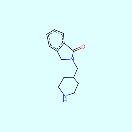 O=C1c2ccccc2CN1CC1CCNCC1